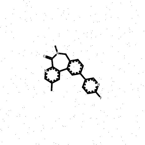 Cc1cnc2c(c1)-c1cc(-c3ccc(F)nc3)ccc1CN(C)C2=O